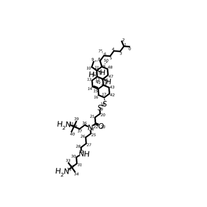 CC(C)CCC[C@@H](C)[C@H]1CC[C@H]2[C@@H]3CC=C4C[C@@H](SSCCC(=O)N(CCCCNCCC(C)(C)N)CCC(C)(C)N)CC[C@]4(C)[C@H]3CC[C@]12C